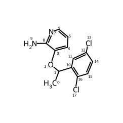 CC(Oc1cccnc1N)c1cc(Cl)ccc1Cl